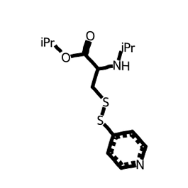 CC(C)NC(CSSc1ccncc1)C(=O)OC(C)C